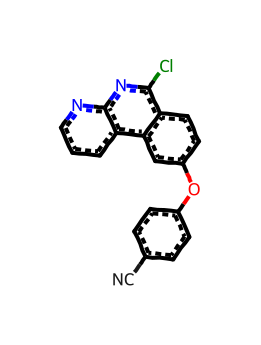 N#Cc1ccc(Oc2ccc3c(Cl)nc4ncccc4c3c2)cc1